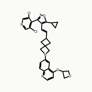 Clc1cncc(Cl)c1-c1noc(C2CC2)c1/C=C/C1CC2(C1)CN(c1ccc3nccc(OC4COC4)c3c1)C2